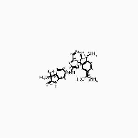 COc1ccc([C@H](C)N)cc1[N+]12C=CN=CC1=NC(Nc1ccc3c(c1)NC(=O)C3(C)C)=N2